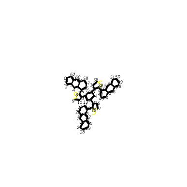 c1ccc2cc3c(-c4sccc4-c4cc(-c5ccsc5-c5cccc6cc7ccccc7cc56)cc(-c5ccsc5-c5cccc6cc7ccccc7cc56)c4)cccc3cc2c1